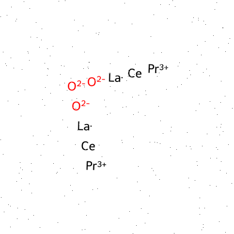 [Ce].[Ce].[La].[La].[O-2].[O-2].[O-2].[Pr+3].[Pr+3]